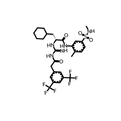 CNS(=O)(=O)c1ccc(C)c(NC(=O)[C@@H](CC2CCCCC2)NC(=N)NC(=O)Cc2cc(C(F)(F)F)cc(C(F)(F)F)c2)c1